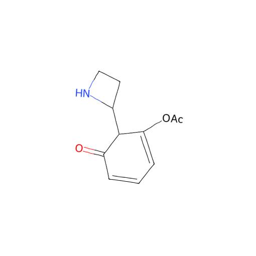 CC(=O)OC1=CC=CC(=O)C1C1CCN1